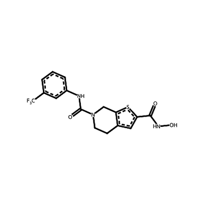 O=C(NO)c1cc2c(s1)CN(C(=O)Nc1cccc(C(F)(F)F)c1)CC2